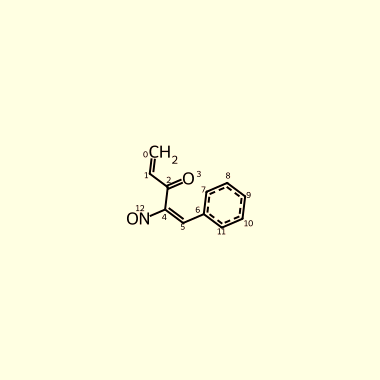 C=CC(=O)C(=Cc1ccccc1)N=O